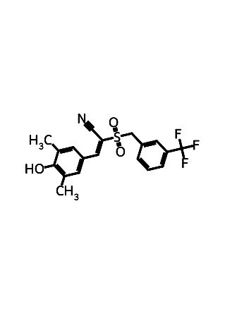 Cc1cc(C=C(C#N)S(=O)(=O)Cc2cccc(C(F)(F)F)c2)cc(C)c1O